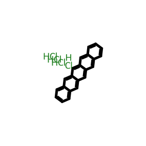 Cl.Cl.Cl.Cl.c1ccc2cc3cc4cc5ccccc5cc4cc3cc2c1